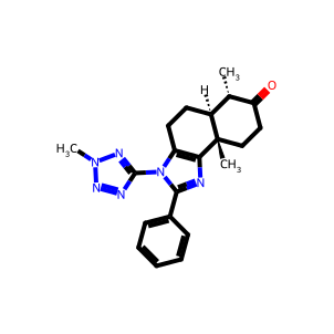 C[C@@H]1C(=O)CC[C@]2(C)c3nc(-c4ccccc4)n(-c4nnn(C)n4)c3CC[C@@H]12